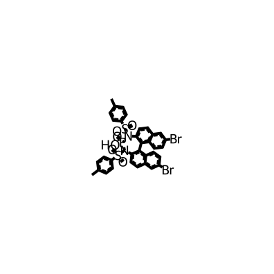 Cc1ccc(S(=O)(=O)N2c3ccc4cc(Br)ccc4c3-c3c(ccc4cc(Br)ccc34)N(S(=O)(=O)c3ccc(C)cc3)P2(=O)O)cc1